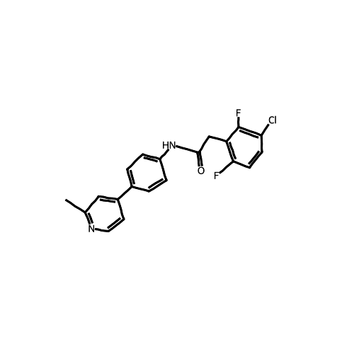 Cc1cc(-c2ccc(NC(=O)Cc3c(F)ccc(Cl)c3F)cc2)ccn1